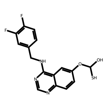 OC(S)Oc1ccc2ncnc(NCc3ccc(F)c(F)c3)c2c1